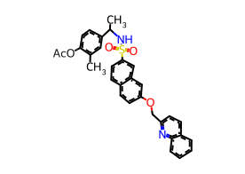 CC(=O)Oc1ccc(C(C)NS(=O)(=O)c2ccc3ccc(OCc4ccc5ccccc5n4)cc3c2)cc1C